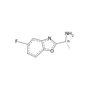 C[C@@H](N)c1nc2cc(F)ccc2o1